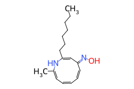 CCCCCCCc1c/c(=N/O)cccccc(C)[nH]1